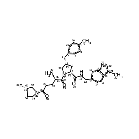 Cc1ccc(C[C@@H]2C[C@@H](C(=O)NCc3ccc4c(c3)nnn4C)N(C(=O)[C@H](N)CCC(=O)N3CC[C@H](F)C3)C2)cc1